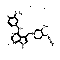 Cc1cc(Nc2ncnc3[nH]cc(CN4CCC(N=[N+]=[N-])C(O)C4)c23)ccc1F